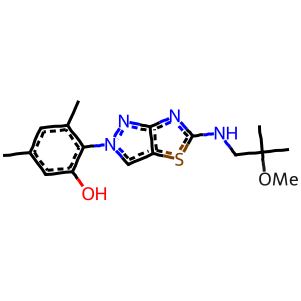 COC(C)(C)CNc1nc2nn(-c3c(C)cc(C)cc3O)cc2s1